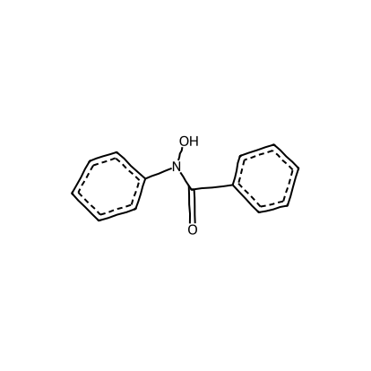 O=C(c1ccccc1)N(O)c1ccccc1